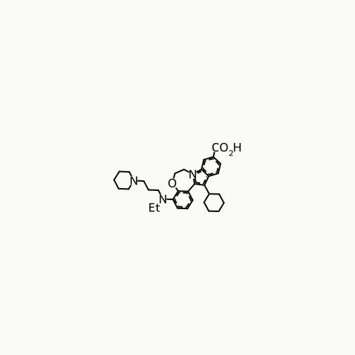 CCN(CCCN1CCCCC1)c1cccc2c1OCCn1c-2c(C2CCCCC2)c2ccc(C(=O)O)cc21